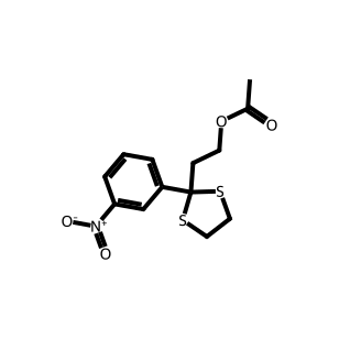 CC(=O)OCCC1(c2cccc([N+](=O)[O-])c2)SCCS1